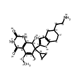 COC1=C(F)C(c2cc3c(s2)CCC(CCN)C3)(C2CC2)C(C)c2[nH]c(=O)[nH]c(=O)c21